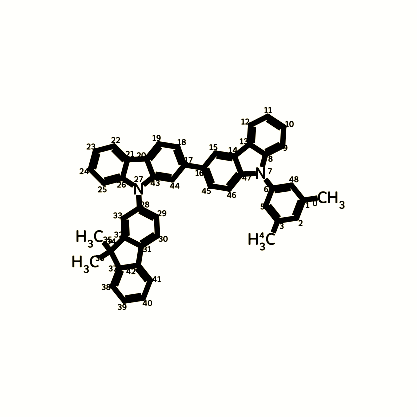 Cc1cc(C)cc(-n2c3ccccc3c3cc(-c4ccc5c6ccccc6n(-c6ccc7c(c6)C(C)(C)c6ccccc6-7)c5c4)ccc32)c1